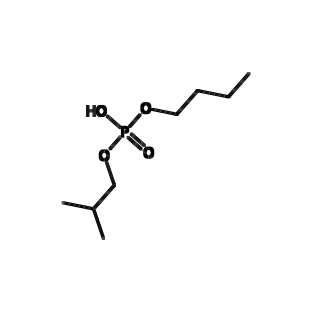 CCCCOP(=O)(O)OCC(C)C